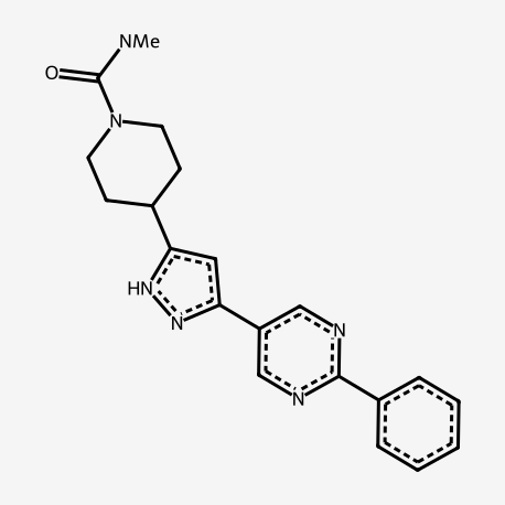 CNC(=O)N1CCC(c2cc(-c3cnc(-c4ccccc4)nc3)n[nH]2)CC1